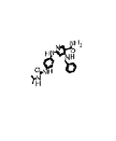 CC(C)NC(=O)Nc1ccc(Nc2cc(NCc3ccccc3)c(C(N)=O)cn2)cc1